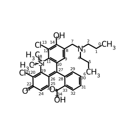 CCCN(CCC)Cc1cc2c(c(Cl)c1O)[Si](C)(C)C1=C(Cl)C(=O)C=CC1=C2c1ccccc1C(=O)O